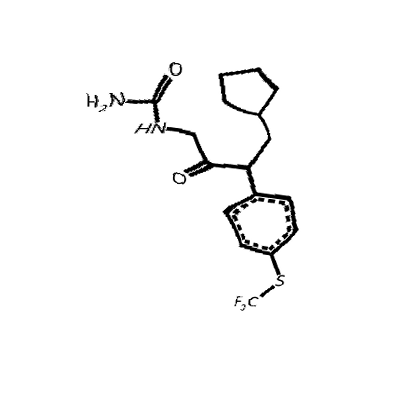 NC(=O)NCC(=O)C(CC1CCCC1)c1ccc(SC(F)(F)F)cc1